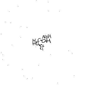 CCO.CO.[NaH]